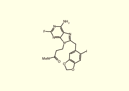 CNC(=O)CCn1c(Cc2cc3c(cc2I)OCO3)nc2c(N)nc(F)nc21